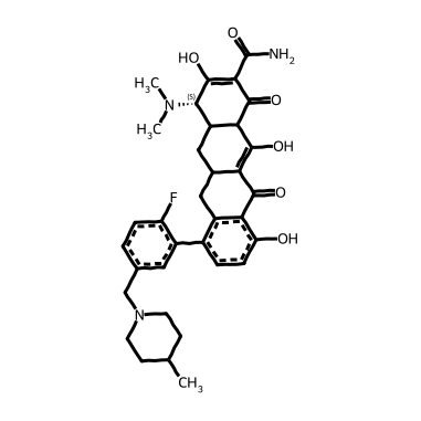 CC1CCN(Cc2ccc(F)c(-c3ccc(O)c4c3CC3CC5C(C(=O)C(C(N)=O)=C(O)[C@H]5N(C)C)C(O)=C3C4=O)c2)CC1